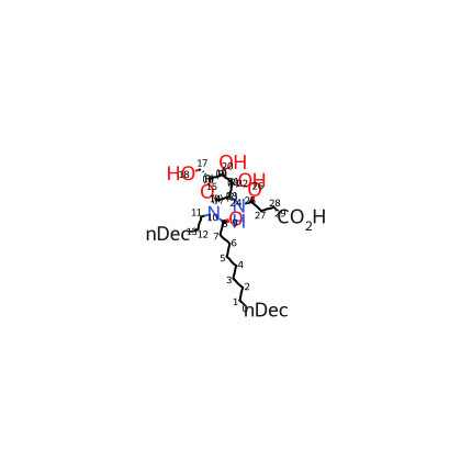 CCCCCCCCCCCCCCCCCC(=O)N(CCCCCCCCCCCC)[C@@H]1O[C@H](CO)[C@H](O)[C@H](O)[C@H]1NC(=O)CCC(=O)O